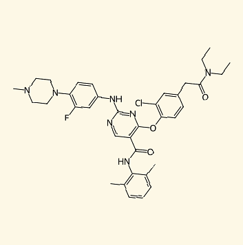 CCN(CC)C(=O)Cc1ccc(Oc2nc(Nc3ccc(N4CCN(C)CC4)c(F)c3)ncc2C(=O)Nc2c(C)cccc2C)c(Cl)c1